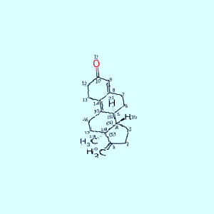 C=C1CC[C@H]2[C@@H]3CCC4=CC(=O)CCC4=C3CC[C@]12C